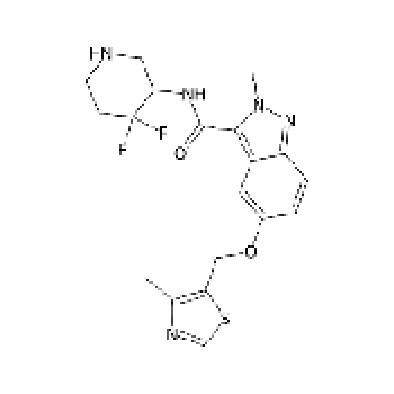 Cc1ncsc1COc1ccc2nn(C)c(C(=O)NC3CNCCC3(F)F)c2c1